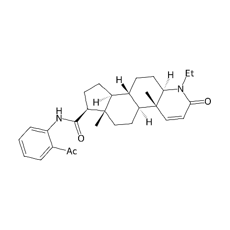 CCN1C(=O)C=C[C@]2(C)[C@H]3CC[C@]4(C)[C@@H](C(=O)Nc5ccccc5C(C)=O)CC[C@H]4[C@@H]3CC[C@@H]12